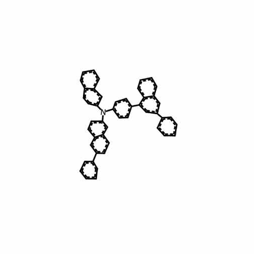 c1ccc(-c2ccc3cc(N(c4ccc(-c5cc(-c6ccccc6)cc6ccccc56)cc4)c4ccc5ccccc5c4)ccc3c2)cc1